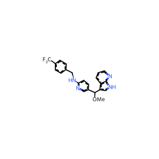 COC(c1ccc(NCc2ccc(C(F)(F)F)cc2)nc1)c1c[nH]c2ncccc12